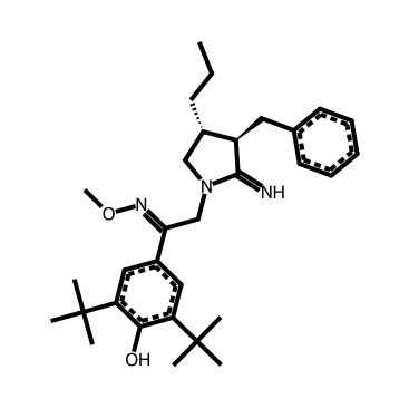 CCC[C@H]1CN(C/C(=N/OC)c2cc(C(C)(C)C)c(O)c(C(C)(C)C)c2)C(=N)[C@@H]1Cc1ccccc1